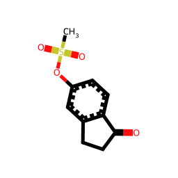 CS(=O)(=O)Oc1ccc2c(c1)CCC2=O